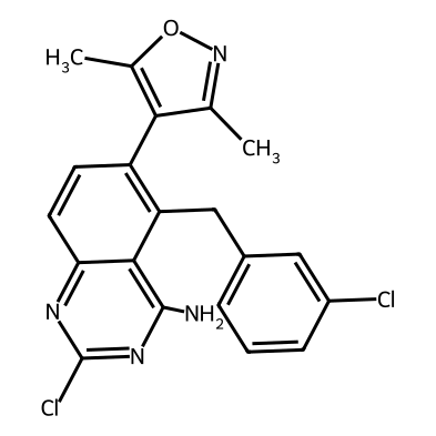 Cc1noc(C)c1-c1ccc2nc(Cl)nc(N)c2c1Cc1cccc(Cl)c1